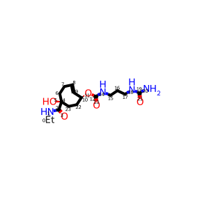 CCNC(=O)[C@]1(O)CC/C=C/[C@H](OC(=O)NCCCNC(N)=O)CC1